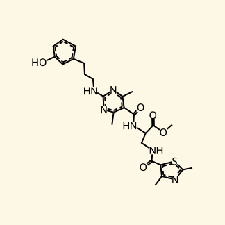 COC(=O)C(CNC(=O)c1sc(C)nc1C)NC(=O)c1c(C)nc(NCCCc2cccc(O)c2)nc1C